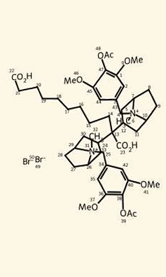 COc1cc(C[N+]2(C)C3CCC2CC(C(CCCCCCCCC(=O)O)(C(=O)O)C2CC4CCC(C2)[N+]4(C)Cc2cc(OC)c(OC(C)=O)c(OC)c2)C3)cc(OC)c1OC(C)=O.[Br-].[Br-]